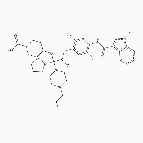 Cn1cc(C(=O)Nc2cc(Cl)c(CC(=O)C(OC3CCC(C(=O)O)CC3)(N3CCCC3)N3CCN(CCF)CC3)cc2Cl)c2ccccc21